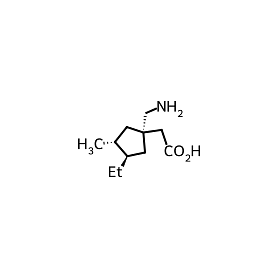 CC[C@@H]1C[C@](CN)(CC(=O)O)C[C@H]1C